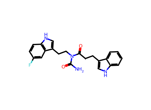 NC(=O)N(CCc1c[nH]c2ccc(F)cc12)C(=O)[CH]Cc1c[nH]c2ccccc12